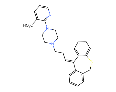 O=C(O)c1cccnc1N1CCN(CCC=C2c3ccccc3CSc3ccccc32)CC1